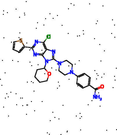 NC(=O)c1ccc(N2CCN(c3nc4c(Cl)nc(-c5cccs5)nc4n3C3CCCCO3)CC2)cc1